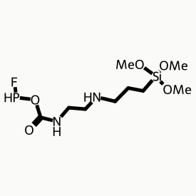 CO[Si](CCCNCCNC(=O)OPF)(OC)OC